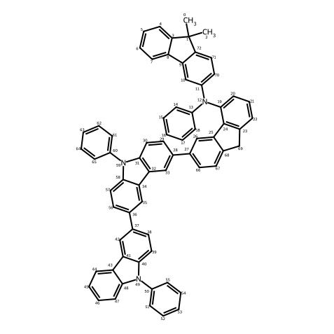 CC1(C)c2ccccc2-c2cc(N(c3ccccc3)c3cccc4c3-c3cc(-c5ccc6c(c5)c5cc(-c7ccc8c(c7)c7ccccc7n8-c7ccccc7)ccc5n6-c5ccccc5)ccc3C4)ccc21